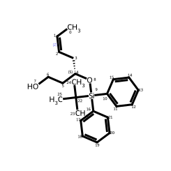 C/C=C\C[C@@H](CCO)O[Si](c1ccccc1)(c1ccccc1)C(C)(C)C